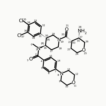 CN(C(=O)c1ccc(N2CCOCC2)cc1)[C@@H]1CCN(C(=O)[C@H]2CCOC[C@H]2N)C[C@H]1c1ccc(Cl)c(Cl)c1